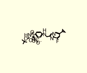 CC(C)(C)OC(=O)NS(=O)(=O)c1ccc(NCc2cn3cc(C4CC4)cc(F)c3n2)cc1[N+](=O)[O-]